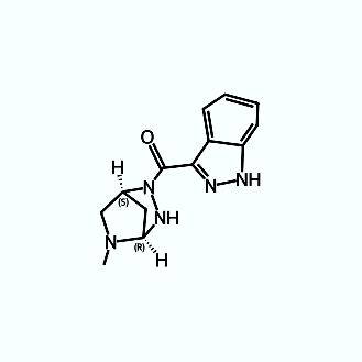 CN1C[C@@H]2C[C@H]1NN2C(=O)c1n[nH]c2ccccc12